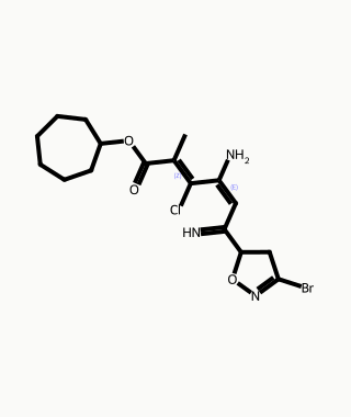 C/C(C(=O)OC1CCCCCC1)=C(Cl)\C(N)=C/C(=N)C1CC(Br)=NO1